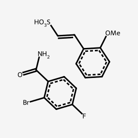 COc1ccccc1/C=C/S(=O)(=O)O.NC(=O)c1ccc(F)cc1Br